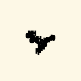 CNC(=O)c1ccc(NCC#Cc2cc(C(=O)NC3CCN(C4CC(C)OC(C)C4)C[C@@H]3C)c3ncn(CC(F)(F)F)c3c2)c(OC)c1